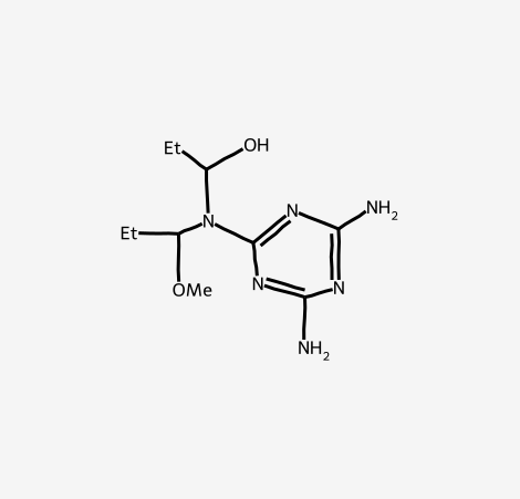 CCC(O)N(c1nc(N)nc(N)n1)C(CC)OC